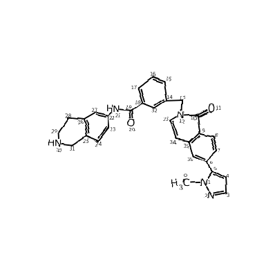 Cn1nccc1-c1ccc2c(=O)n(Cc3cccc(C(=O)Nc4ccc5c(c4)CCNC5)c3)ccc2c1